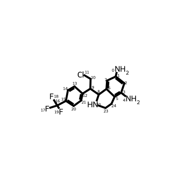 Nc1cc(N)c2c(c1)C(C(CCl)c1ccc(C(F)(F)F)cc1)NCC2